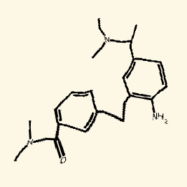 CC(c1ccc(N)c(Cc2cccc(C(=O)N(C)C)c2)c1)N(C)C